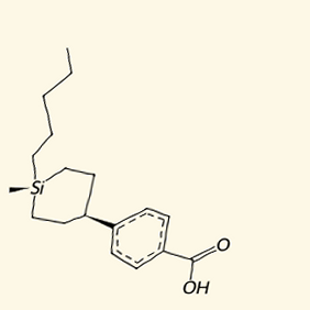 CCCCC[Si@]1(C)CC[C@@H](c2ccc(C(=O)O)cc2)CC1